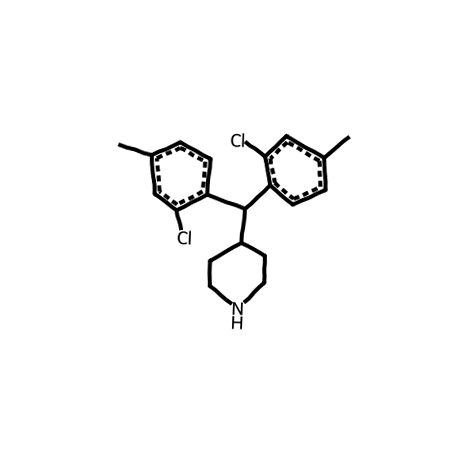 Cc1ccc(C(c2ccc(C)cc2Cl)C2CCNCC2)c(Cl)c1